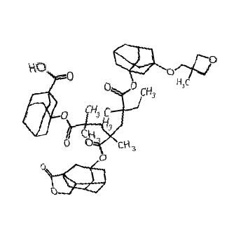 CCC(C)(CC(C)(CC(C)(C)C(=O)OC12CC3CC(C1)CC(C(=O)O)(C3)C2)C(=O)OC12CC3CC(C1)C1COC(=O)C1(C3)C2)C(=O)OC12CC3CC(CC(OCC4(C)COC4)(C3)C1)C2